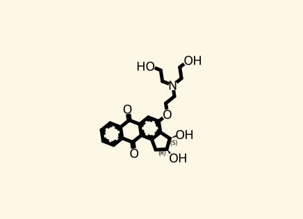 O=C1c2ccccc2C(=O)c2c1cc(OCCN(CCO)CCO)c1c2C[C@@H](O)[C@H]1O